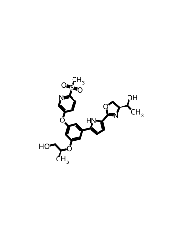 CC(O)[C@@H]1COC(c2ccc(-c3cc(Oc4ccc(S(C)(=O)=O)nc4)cc(O[C@@H](C)CO)c3)[nH]2)=N1